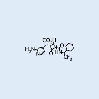 Nc1cc(C[C@H]2C(=O)N(C(=O)NC(C3CCCCC3)C(F)(F)F)[C@@H]2C(=O)O)ccn1